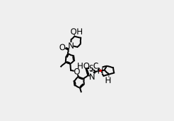 Cc1ccc(OCc2ccc(C(=O)N3CCC[C@@H](O)C3)cc2C)c(-c2csc(N3CC4CC[C@@H](C3)C4CC(=O)O)n2)c1